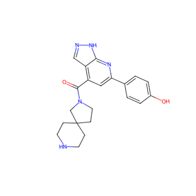 O=C(c1cc(-c2ccc(O)cc2)nc2[nH]ncc12)N1CCC2(CCNCC2)C1